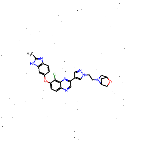 Cc1nc2ccc(Oc3ccc4ncc(-c5cnn(CCN6CC7CC6CO7)c5)nc4c3Cl)cc2[nH]1